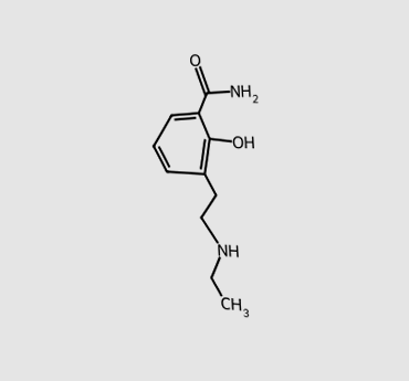 CCNCCc1cccc(C(N)=O)c1O